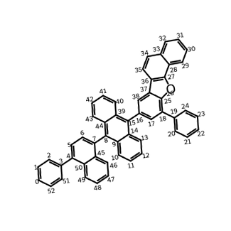 c1ccc(-c2ccc(-c3c4ccccc4c(-c4cc(-c5ccccc5)c5oc6c7ccccc7ccc6c5c4)c4ccccc34)c3ccccc23)cc1